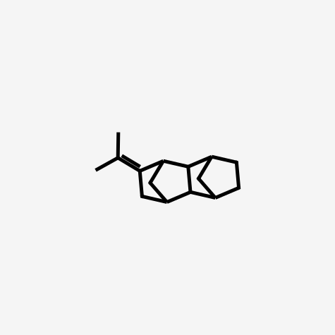 CC(C)=C1CC2CC1C1C3CCC(C3)C21